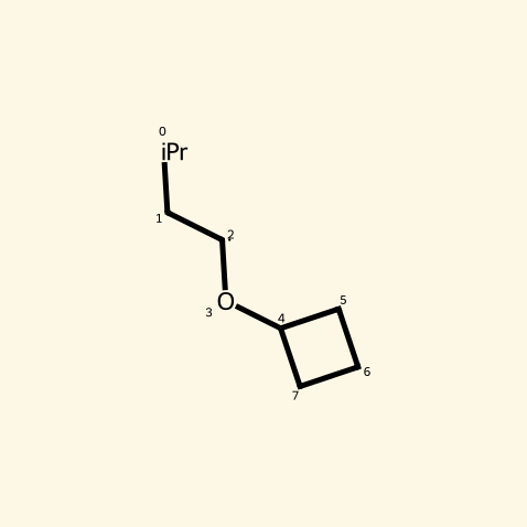 CC(C)C[CH]OC1CCC1